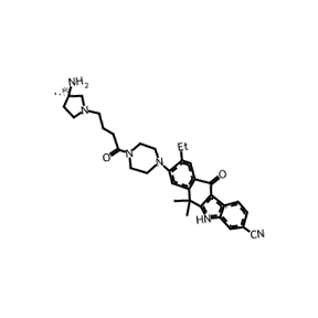 CCc1cc2c(cc1N1CCN(C(=O)CCCN3CC[C@@](C)(N)C3)CC1)C(C)(C)c1[nH]c3cc(C#N)ccc3c1C2=O